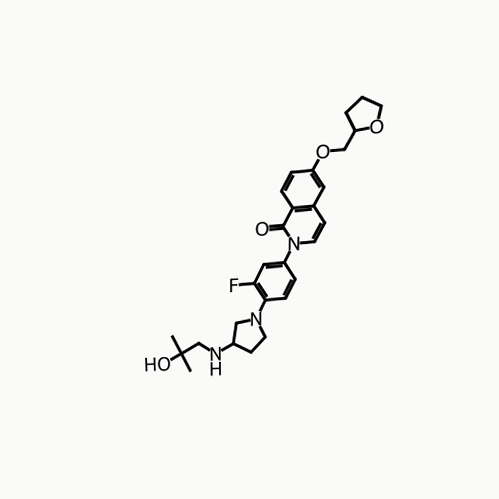 CC(C)(O)CNC1CCN(c2ccc(-n3ccc4cc(OCC5CCCO5)ccc4c3=O)cc2F)C1